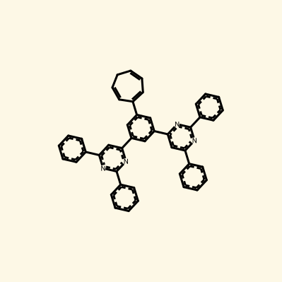 C1=CCC=CC(c2cc(-c3cc(-c4ccccc4)nc(-c4ccccc4)n3)cc(-c3cc(-c4ccccc4)nc(-c4ccccc4)n3)c2)=C1